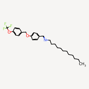 CCCCCCCCCCCCN=Cc1ccc(OCc2ccc(OC(F)(F)F)cc2)cc1